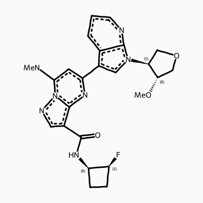 CNc1cc(-c2cn([C@H]3COC[C@@H]3OC)c3ncccc23)nc2c(C(=O)N[C@@H]3CC[C@@H]3F)cnn12